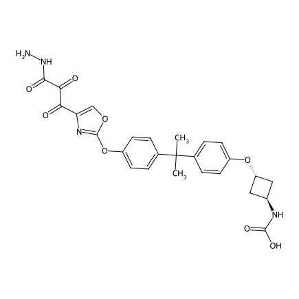 CC(C)(c1ccc(Oc2nc(C(=O)C(=O)C(=O)NN)co2)cc1)c1ccc(O[C@H]2C[C@H](NC(=O)O)C2)cc1